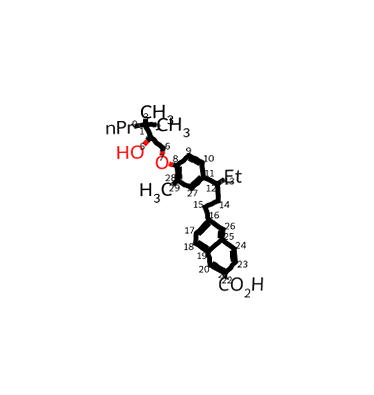 CCCC(C)(C)C(O)COc1ccc(C(CC)CCc2ccc3cc(C(=O)O)ccc3c2)cc1C